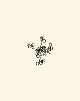 CC(C)(C)OC(=O)CCCNC(=O)C(NC(=O)CCN1C(=O)C=CC1=O)C(NC(=O)CCN1C(=O)C=CC1=O)C(=O)NCCCC(=O)OC(C)(C)C